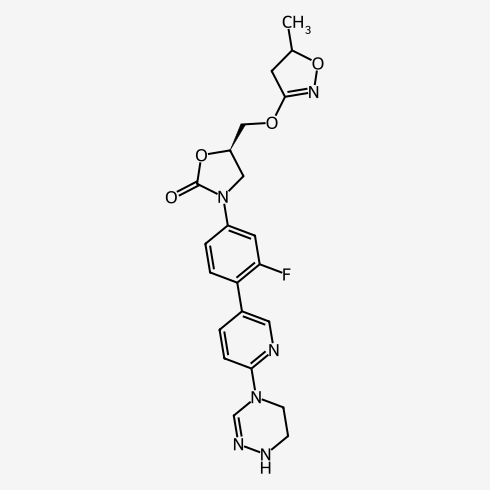 CC1CC(OC[C@H]2CN(c3ccc(-c4ccc(N5C=NNCC5)nc4)c(F)c3)C(=O)O2)=NO1